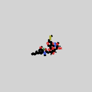 C=C/C=C(\C)Cc1cc(OC)c(Cl)c(N(C)C(=O)C[C@H](OC(=O)C2CCC(CSSC)OC2)[C@@]2(C)C[C@@](C)([C@@H]3C[C@](O)([C@@H](C)OC)NC(=O)O3)O2)c1